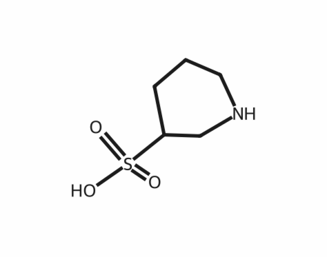 O=S(=O)(O)C1CCCNC1